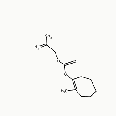 C=C(C)COC(=O)OC1=C(C)CCCCC1